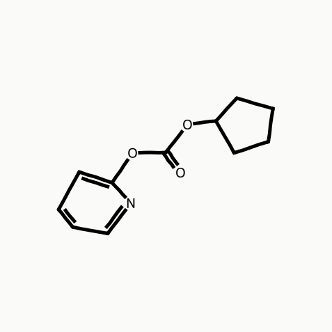 O=C(Oc1ccccn1)OC1CCCC1